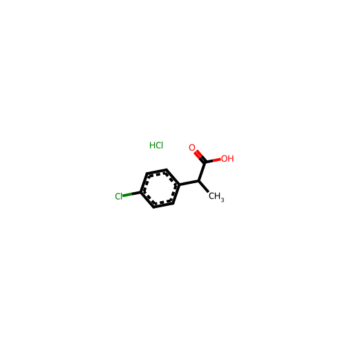 CC(C(=O)O)c1ccc(Cl)cc1.Cl